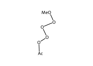 COOOOOC(C)=O